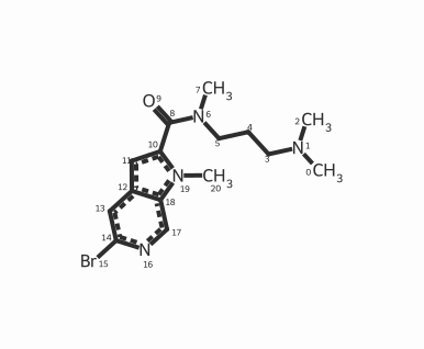 CN(C)CCCN(C)C(=O)c1cc2cc(Br)ncc2n1C